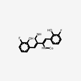 [NH]CC(=Cc1cccc(F)c1O)C(=Cc1cccc(F)c1O)[NH][Co]